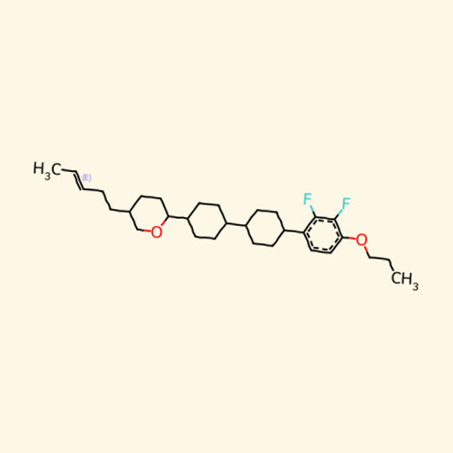 C/C=C/CCC1CCC(C2CCC(C3CCC(c4ccc(OCCC)c(F)c4F)CC3)CC2)OC1